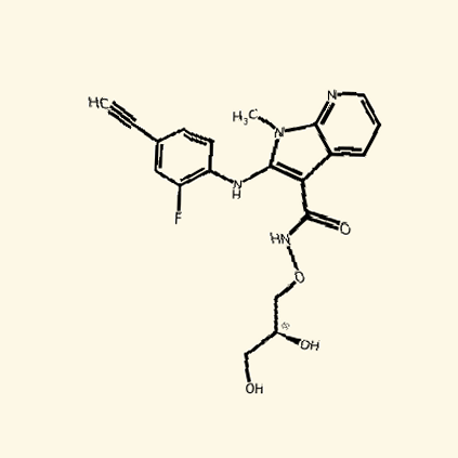 C#Cc1ccc(Nc2c(C(=O)NOC[C@@H](O)CO)c3cccnc3n2C)c(F)c1